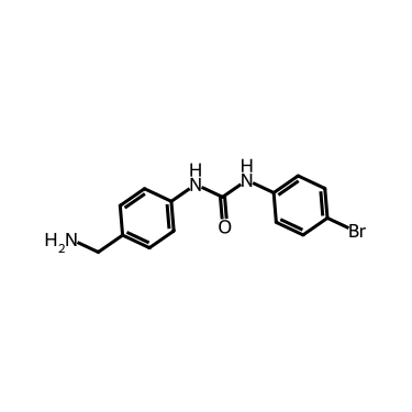 NCc1ccc(NC(=O)Nc2ccc(Br)cc2)cc1